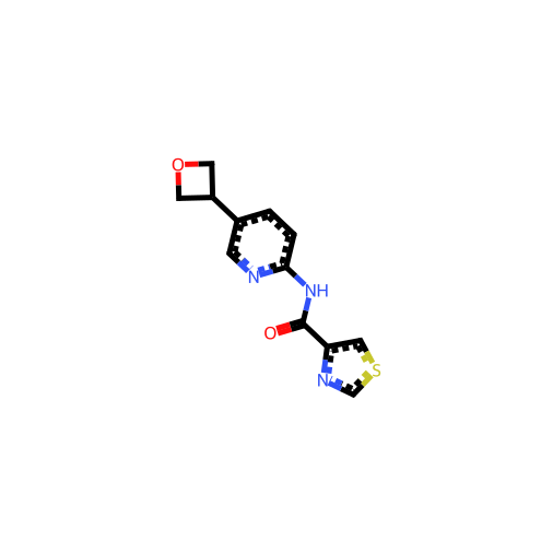 O=C(Nc1ccc(C2COC2)cn1)c1cscn1